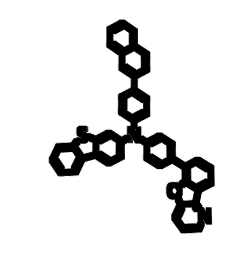 c1ccc2cc(-c3ccc(N(c4ccc(-c5cccc6c5oc5cccnc56)cc4)c4ccc5c(c4)sc4ccccc45)cc3)ccc2c1